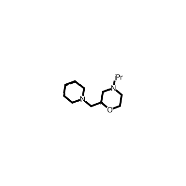 CC(C)N1CCOC(CN2CCCCC2)C1